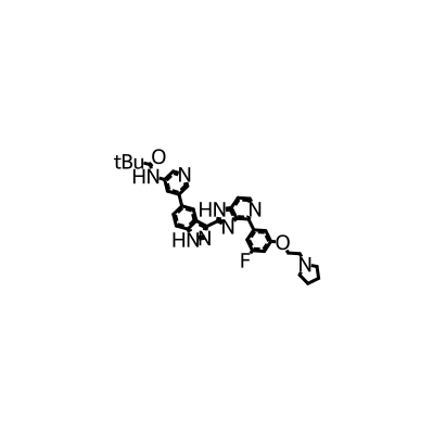 CC(C)(C)C(=O)Nc1cncc(-c2ccc3[nH]nc(-c4nc5c(-c6cc(F)cc(OCCN7CCCC7)c6)nccc5[nH]4)c3c2)c1